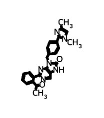 CC(=O)c1ccccc1-c1ncc2[nH]c(=O)n(Cc3ccc(-c4nc(C)cn4C)cc3)c2n1